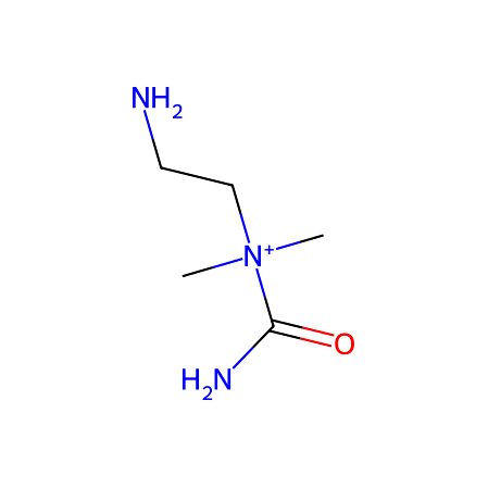 C[N+](C)(CCN)C(N)=O